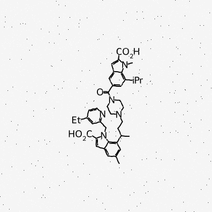 CCc1ccnc(Cn2c(C(=O)O)cc3cc(C)cc(C(C)CCN4CCN(C(=O)c5cc(C(C)C)c6c(c5)cc(C(=O)O)n6C)CC4)c32)c1